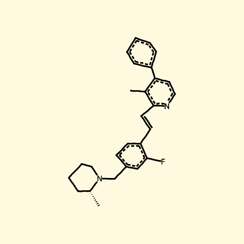 Cc1c(-c2ccccc2)ccnc1/C=C/c1ccc(CN2CCCC[C@H]2C)cc1F